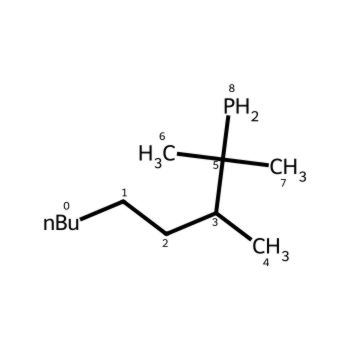 CCCCCCC(C)C(C)(C)P